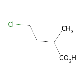 CC(CCCl)C(=O)O